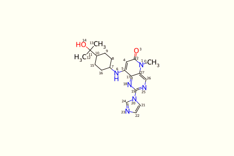 Cn1c(=O)cc(NC2CCC(C(C)(C)O)CC2)c2nc(-n3ccnc3)ncc21